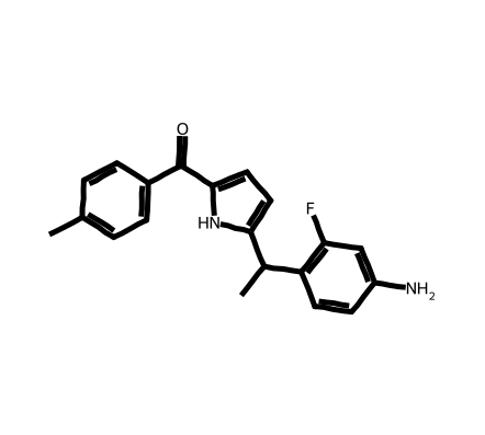 Cc1ccc(C(=O)c2ccc(C(C)c3ccc(N)cc3F)[nH]2)cc1